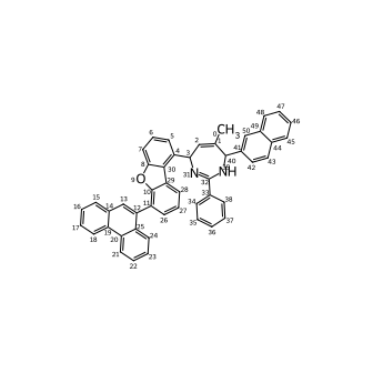 CC1=CC(c2cccc3oc4c(-c5cc6ccccc6c6ccccc56)cccc4c23)N=C(c2ccccc2)NC1c1ccc2ccccc2c1